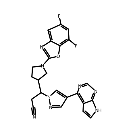 N#CCC(C1CCN(c2nc3cc(F)cc(F)c3o2)C1)n1cc(-c2ncnc3[nH]ccc23)cn1